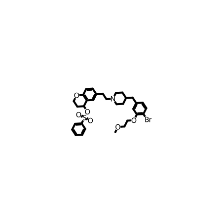 COCCOc1cc(CC2CCN(CCc3ccc4c(c3)C(OS(=O)(=O)c3ccccc3)CCO4)CC2)ccc1Br